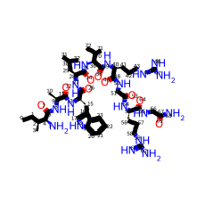 CC[C@H](C)[C@H](N)C(=O)N[C@@H](C)C(=O)N[C@@H](Cc1c[nH]c2ccccc12)C(=O)N[C@@H](CC(C)C)C(=O)N[C@H](C(=O)N[C@@H](CCCNC(=N)N)C(=O)NCC(=O)N[C@@H](CCCNC(=N)N)C(=O)NCC(N)=O)C(C)C